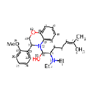 CCN(CC)C(CCC=C(C)C)C(O)N1c2ccccc2OCC1c1ccccc1OC